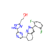 OCCc1n[nH]c(-c2cncc(C3CCCc4cc(-c5c(F)cccc5F)nnc43)n2)n1